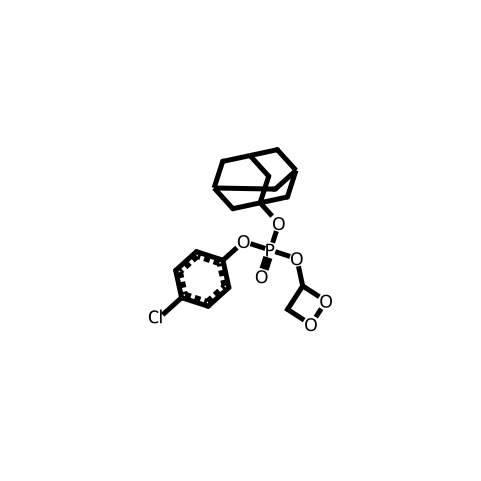 O=P(Oc1ccc(Cl)cc1)(OC1COO1)OC12CC3CC(CC(C3)C1)C2